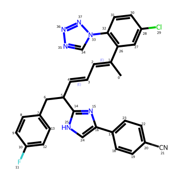 C/C(=C\C=C\C(Cc1ccc(F)cc1)c1nc(-c2ccc(C#N)cc2)c[nH]1)c1cc(Cl)ccc1-n1cnnn1